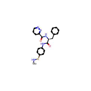 CC(C)(C)NSc1ccc(NC(=O)[C@H](Cc2ccccc2)NC(=O)c2cccnn2)cc1